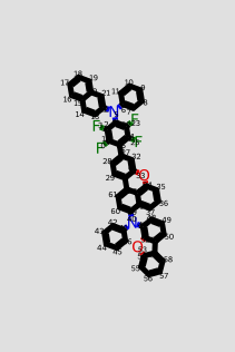 Fc1c(F)c(N(c2ccccc2)c2ccc3ccccc3c2)c(F)c(F)c1-c1ccc2c(c1)Oc1cccc3c(N(c4ccccc4)c4cccc5c4oc4ccccc45)ccc-2c13